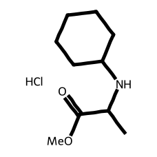 COC(=O)C(C)NC1CCCCC1.Cl